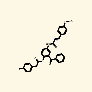 CCCOc1ccc(/C=C/C(=O)Nc2ccc(NC(=O)Cc3ccc(C)cc3)c(C(=O)c3ccccc3)c2)cc1